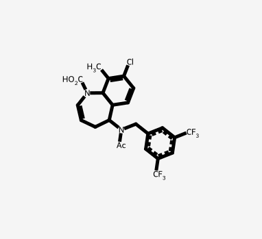 CC(=O)N(Cc1cc(C(F)(F)F)cc(C(F)(F)F)c1)C1CC=CN(C(=O)O)C2C(C)=C(Cl)C=CC21